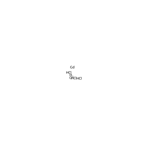 Cl.Cl.Cl.O.[Gd]